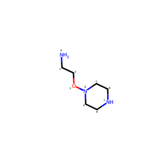 NCCON1CCNCC1